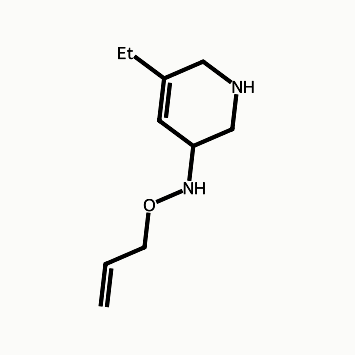 C=CCONC1C=C(CC)CNC1